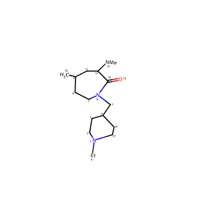 CCN1CCC(CN2CCC(C)CC(NC)C2=O)CC1